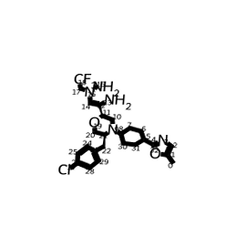 Cc1cnc(C2CCC(N3C[C@H](/C(N)=C/N(N)CC(F)(F)F)OC[C@@H]3Cc3ccc(Cl)cc3)CC2)o1